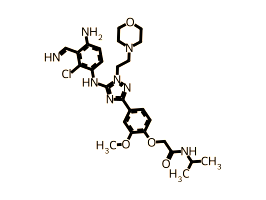 COc1cc(-c2nc(Nc3ccc(N)c(C=N)c3Cl)n(CCN3CCOCC3)n2)ccc1OCC(=O)NC(C)C